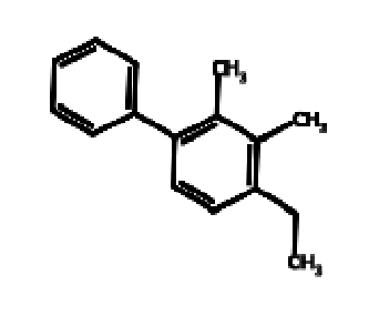 CCc1ccc(-c2ccccc2)c(C)c1C